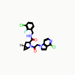 O=C(NCc1cccc(Cl)c1F)C1C[C@H]2CC2N1C(=O)Cn1ccc2c(Cl)nccc21